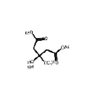 CC(=O)OC(=O)CC(O)(CC(=O)OC(C)=O)C(=O)O.[KH]